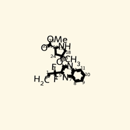 C=CC(F)(F)c1nc2ccccc2nc1O[C@@]1(C)CN[C@H](C(=O)OC)C1